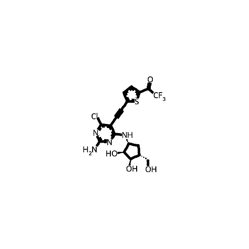 Nc1nc(Cl)c(C#Cc2ccc(C(=O)C(F)(F)F)s2)c(N[C@@H]2C[C@H](CO)[C@@H](O)[C@H]2O)n1